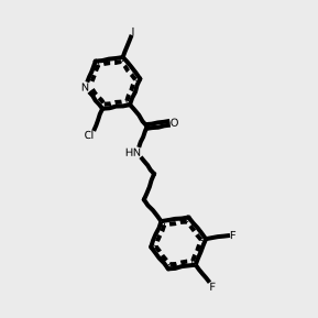 O=C(NCCc1ccc(F)c(F)c1)c1cc(I)cnc1Cl